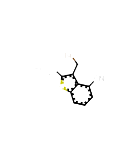 CCOC(=O)c1sc2cccc(C#N)c2c1CBr